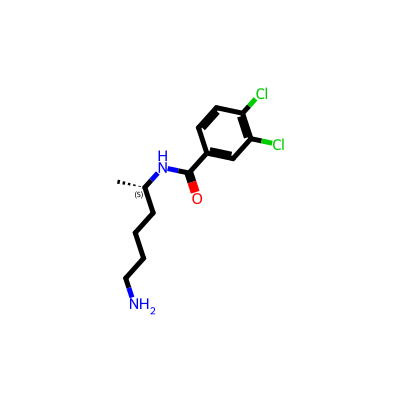 C[C@@H](CCCCN)NC(=O)c1ccc(Cl)c(Cl)c1